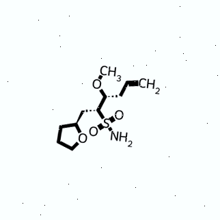 C=CC[C@@H](OC)[C@@H](C[C@@H]1CCCO1)S(N)(=O)=O